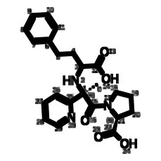 C[C@](NC(CCc1ccccc1)C(=O)O)(C(=O)N1CCC[C@H]1C(=O)O)c1ccccn1